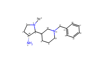 [2H]N1CC[C@@H](N)C1C1CCCN(Cc2ccccc2)C1